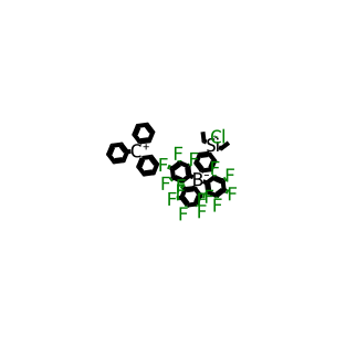 CC[Si](Cl)(CC)c1ccc([B-](c2c(F)c(F)c(F)c(F)c2F)(c2c(F)c(F)c(F)c(F)c2F)c2c(F)c(F)c(F)c(F)c2F)cc1.c1ccc([C+](c2ccccc2)c2ccccc2)cc1